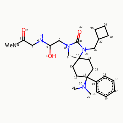 CNC(=O)CNC(O)CN1C[C@]2(CC[C@](c3ccccc3)(N(C)C)CC2)N(CC2CCC2)C1=O